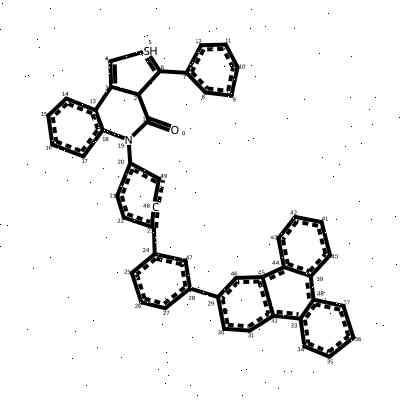 O=C1C2C(=C[SH]=C2c2ccccc2)c2ccccc2N1c1ccc(-c2cccc(-c3ccc4c5ccccc5c5ccccc5c4c3)c2)cc1